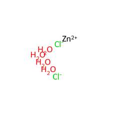 O.O.O.O.[Cl-].[Cl-].[Zn+2]